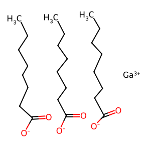 CCCCCCCC(=O)[O-].CCCCCCCC(=O)[O-].CCCCCCCC(=O)[O-].[Ga+3]